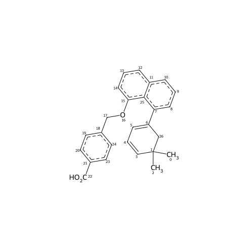 CC1(C)C=CC=C(c2cccc3cccc(OCc4ccc(C(=O)O)cc4)c23)C1